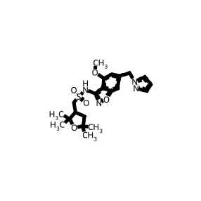 COc1cc(Cn2cccn2)cc2onc(NS(=O)(=O)CC3CC(C)(C)OC3(C)C)c12